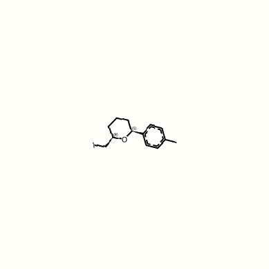 Cc1ccc([C@@H]2CCC[C@H](CI)O2)cc1